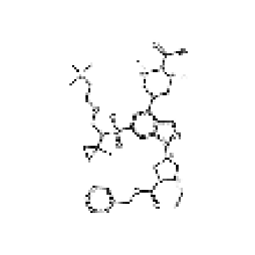 CC(C)C(=O)N1[C@H](C)CN(c2cc(S(=O)(=O)N(COCC[Si](C)(C)C)C3(C)CC3)cc3c2cnn3[C@H]2C[C@H](CF)N(C(=O)OCc3ccccc3)C2)C[C@@H]1C